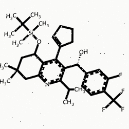 CC(C)c1nc2c(c(C3=CCCC3)c1[C@H](O)c1ccc(C(F)(F)F)c(F)c1)C(O[Si](C)(C)C(C)(C)C)CC(C)(C)C2